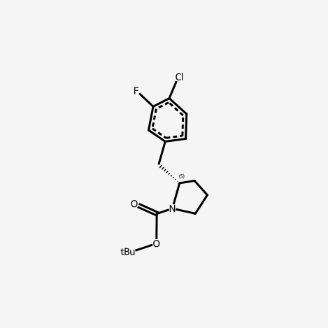 CC(C)(C)OC(=O)N1CCC[C@H]1Cc1ccc(Cl)c(F)c1